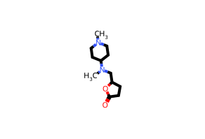 CN1CCC(N(C)CC2CCC(=O)O2)CC1